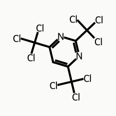 ClC(Cl)(Cl)c1cc(C(Cl)(Cl)Cl)nc(C(Cl)(Cl)Cl)n1